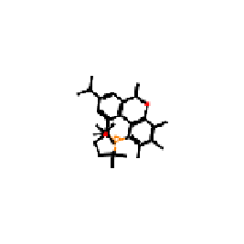 Cc1c(C)c(C)c(P2C(C)(C)CCC2(C)C)c(-c2c(C(C)C)cc(C(C)C)cc2C(C)C)c1C